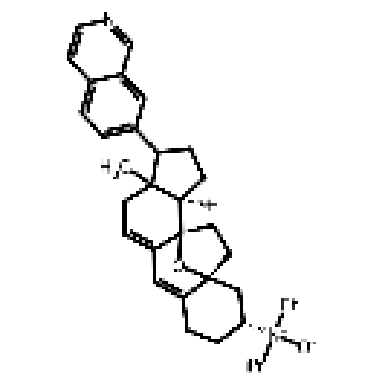 CC[N+]([O-])(C(C)C)[C@@H]1CCC2=CC3=CCC4(C)C(c5ccc6ccncc6c5)CC[C@H]4[C@@]34CC[C@]2(C1)O4